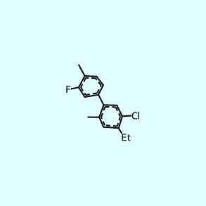 CCc1cc(C)c(-c2ccc(C)c(F)c2)cc1Cl